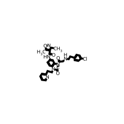 Cc1noc(C)c1C(=O)Nc1ccc2c(c1)N(C(=O)CNCCc1ccc(Cl)cc1)CC(=O)N2CCc1ccccn1